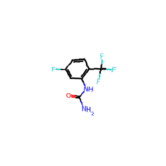 NC(=O)Nc1cc(F)ccc1C(F)(F)F